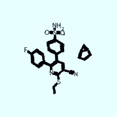 CCSc1nc(-c2ccc(F)cc2)c(-c2ccc(S(N)(=O)=O)cc2)cc1C#N.c1cc2cc-2c1